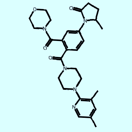 Cc1cnc(N2CCN(C(=O)c3ccc(N4C(=O)CCC4C)cc3C(=O)N3CCOCC3)CC2)c(C)c1